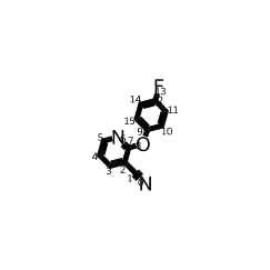 N#Cc1cccnc1Oc1ccc(F)cc1